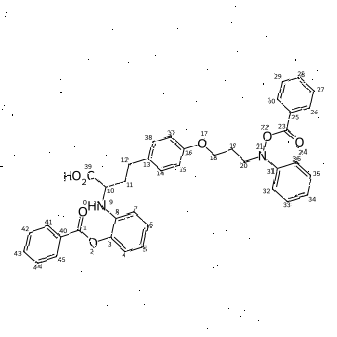 O=C(Oc1ccccc1NC(CCc1ccc(OCCCN(OC(=O)c2ccccc2)c2ccccc2)cc1)C(=O)O)c1ccccc1